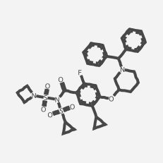 O=C(c1cc(C2CC2)c(OC2CCCN(C(c3ccccc3)c3ccccc3)C2)cc1F)N(S(=O)(=O)C1CC1)S(=O)(=O)N1CCC1